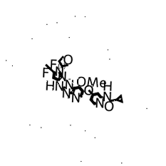 COc1c(Oc2ccnc(NC(=O)C3CC3)c2)cnc2nc(Nc3cc(C(C)(F)F)n([C@H]4CCOC4)n3)n(C)c12